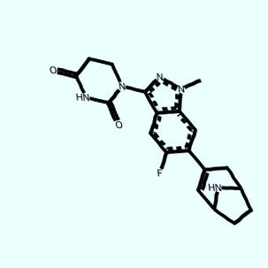 Cn1nc(N2CCC(=O)NC2=O)c2cc(F)c(C3=CC4CCC(C3)N4)cc21